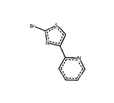 Brc1nc(-c2ccccn2)cs1